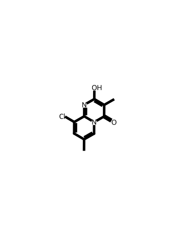 Cc1cc(Cl)c2nc(O)c(C)c(=O)n2c1